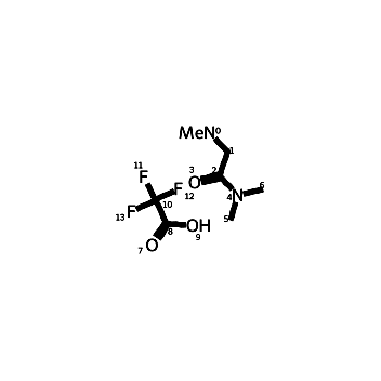 CNCC(=O)N(C)C.O=C(O)C(F)(F)F